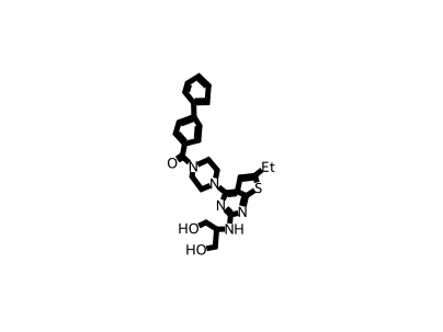 CCc1cc2c(N3CCN(C(=O)c4ccc(-c5ccccc5)cc4)CC3)nc(NC(CO)CO)nc2s1